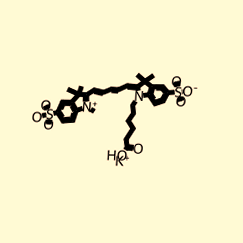 C[N+]1=C(C=CC=CC=C2N(CCCCCC(=O)O)c3ccc(S(=O)(=O)[O-])cc3C2(C)C)C(C)(C)c2cc(S(=O)(=O)[O-])ccc21.[K+]